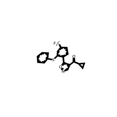 O=C(c1cnoc1-c1ccc(C(F)(F)F)cc1Sc1ccccc1)C1CC1